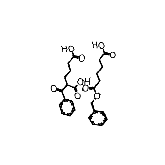 O=C(O)CCCC(C(=O)O)C(=O)c1ccccc1.O=C(O)CCCCC(=O)OCc1ccccc1